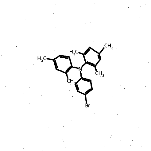 Cc1ccc(N(c2ccc(Br)cc2)c2c(C)cc(C)cc2C)c(C)c1